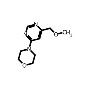 COCc1cc(N2CCOCC2)ncn1